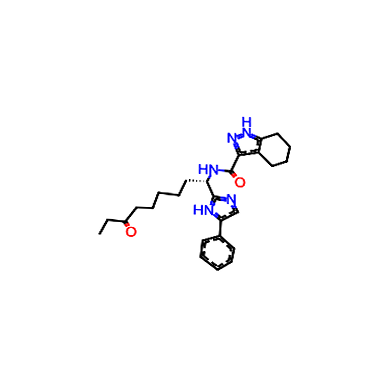 CCC(=O)CCCCC[C@H](NC(=O)c1n[nH]c2c1CCCC2)c1ncc(-c2ccccc2)[nH]1